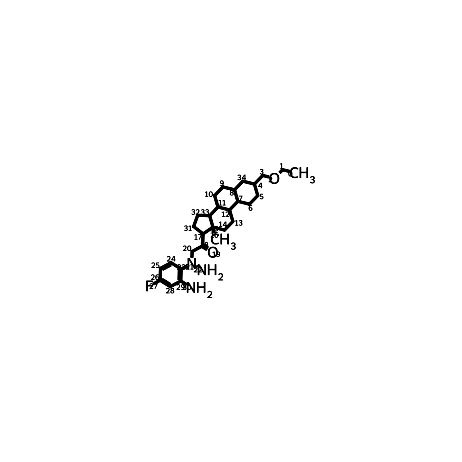 CCOCC1CCC2C(CCC3C2CCC2(C)C(C(=O)CN(N)c4ccc(F)cc4N)CCC32)C1